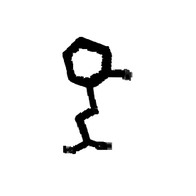 OC(O)CSc1ccccc1Br